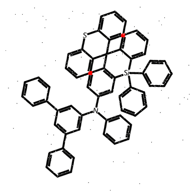 c1ccc(-c2cc(-c3ccccc3)cc(N(c3ccccc3)c3ccc4c(c3)[Si](c3ccccc3)(c3ccccc3)c3ccccc3C43c4ccccc4Sc4ccccc43)c2)cc1